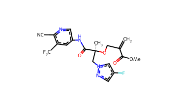 C=C(CO[C@@](C)(Cn1cc(F)cn1)C(=O)Nc1cnc(C#N)c(C(F)(F)F)c1)C(=O)OC